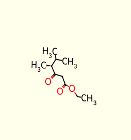 CCOC(=O)CC(=O)[C@@H](C)C(C)C